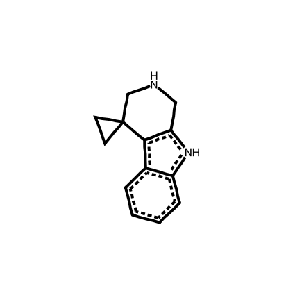 c1ccc2c3c([nH]c2c1)CNCC31CC1